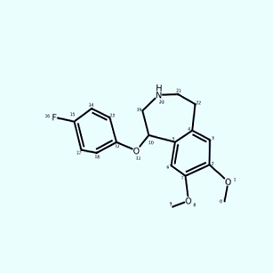 COc1cc2c(cc1OC)C(Oc1ccc(F)cc1)CNCC2